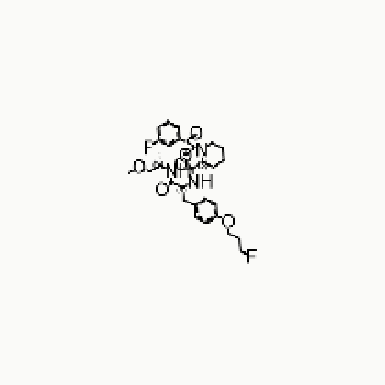 COC[C@H](C)NC(=O)[C@H](Cc1ccc(OCCCF)cc1)NC(=O)[C@@H]1CCCCN1S(=O)(=O)c1cccc(F)c1